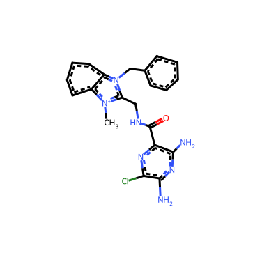 C[n+]1c(CNC(=O)c2nc(Cl)c(N)nc2N)n(Cc2ccccc2)c2ccccc21